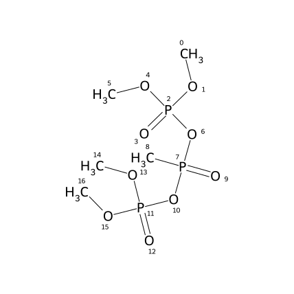 COP(=O)(OC)OP(C)(=O)OP(=O)(OC)OC